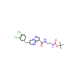 CC(C)(C)OC(=O)NCCNC(=O)c1cnn2cc(Cc3ccc(Cl)c(Cl)c3)cnc12